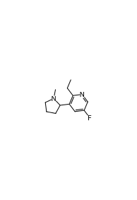 CCc1ncc(F)cc1C1CCCN1C